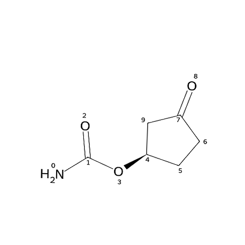 NC(=O)O[C@@H]1CCC(=O)C1